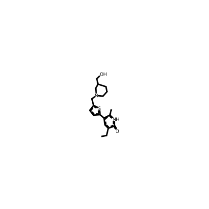 CCc1cc(-c2ccc(CN3CCCC(CO)C3)s2)c(C)[nH]c1=O